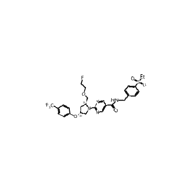 CCS(=O)(=O)c1ccc(CNC(=O)c2cnc(N3C[C@H](Oc4ccc(C(F)(F)F)cc4)C[C@H]3COCCF)nc2)cc1